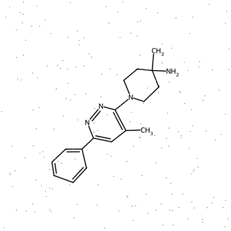 Cc1cc(-c2ccccc2)nnc1N1CCC(C)(N)CC1